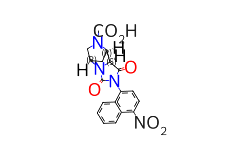 O=C1[C@@H]2[C@H]3C[C@H](CN3C(=O)O)N2C(=O)N1c1ccc([N+](=O)[O-])c2ccccc12